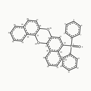 O=P(c1ccccc1)(c1ccccc1)c1cc2c(c3ccccc13)Oc1c(ccc3ccccc13)O2